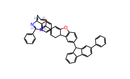 C1=C(C2=N/C(c3ccccc3)=N\C(c3ccccc3)=C\C=C\2)C=C2Oc3ccc(C4c5ccccc5-c5ccc(-c6ccccc6)cc54)cc3C2C1